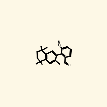 COc1cccc(C=O)c1-c1cc2c(cc1C)C(C)(C)CCC2(C)C